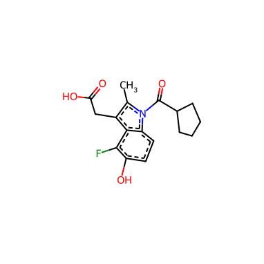 Cc1c(CC(=O)O)c2c(F)c(O)ccc2n1C(=O)C1CCCC1